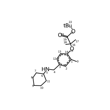 Cc1cc(CNC2CCCCC2)ccc1OC(C)(C)C(=O)OC(C)(C)C